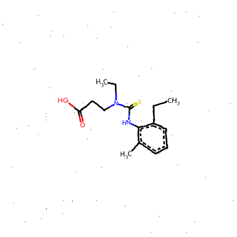 CCc1cccc(C)c1NC(=S)N(CC)CCC(=O)O